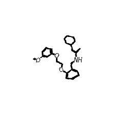 COc1cccc(OCCOc2ccccc2CNC(C)CC2CCCCC2)c1